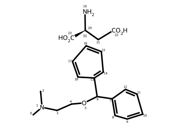 CN(C)CCOC(c1ccccc1)c1ccccc1.N[C@@H](CC(=O)O)C(=O)O